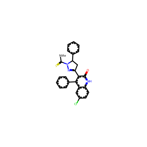 CNC(=S)N1N=C(c2c(-c3ccccc3)c3cc(Cl)ccc3[nH]c2=O)CC1c1ccccc1